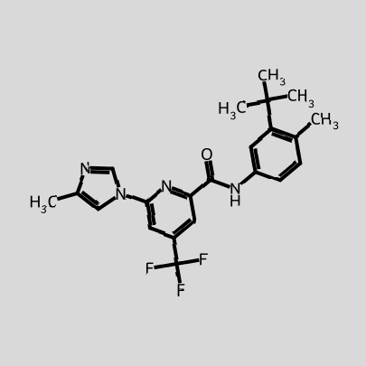 Cc1cn(-c2cc(C(F)(F)F)cc(C(=O)Nc3ccc(C)c(C(C)(C)C)c3)n2)cn1